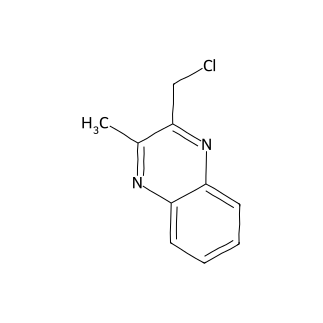 Cc1nc2ccccc2nc1CCl